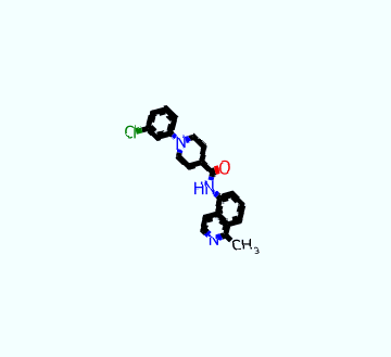 Cc1nccc2c(NC(=O)C3CCN(c4cccc(Cl)c4)CC3)cccc12